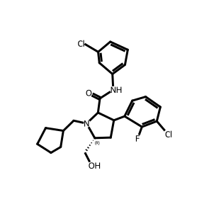 O=C(Nc1cccc(Cl)c1)C1C(c2cccc(Cl)c2F)C[C@H](CO)N1CC1CCCC1